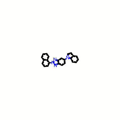 c1ccc2c(-n3nc4ccc(-n5ccc6ccccc65)cc4n3)cccc2c1